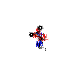 Cc1ncnc2c1ncn2[C@@H]1O[C@H]([C@H](C)OP(=O)(NCC(=O)OC2CCCCC2)Oc2ccccc2)[C@@H](O)[C@H]1O